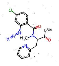 COC(=O)[C@@H](Cc1ccccn1)N(C)C(=O)c1ccc(Cl)cc1N=[N+]=[N-]